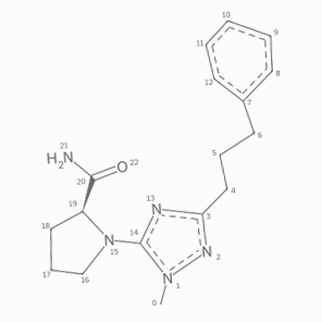 Cn1nc(CCCc2ccccc2)nc1N1CCC[C@H]1C(N)=O